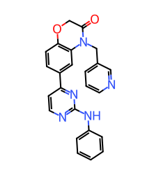 O=C1COc2ccc(-c3ccnc(Nc4ccccc4)n3)cc2N1Cc1cccnc1